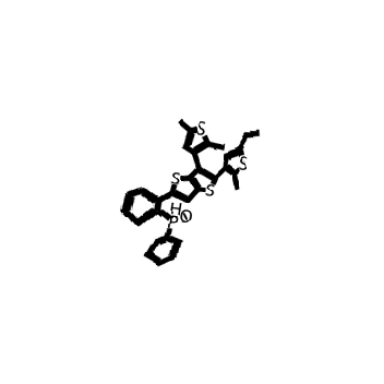 CCc1cc(-c2sc3cc(-c4ccccc4[PH](=O)c4ccccc4)sc3c2-c2cc(C)sc2C)c(C)s1